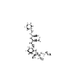 N/C(=C\N(N)CCc1ccccc1)COc1cccc2c1CN(C(C=O)CCC=O)C2=O